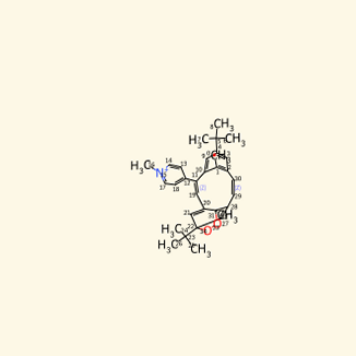 Cc1c2cc(C(C)(C)C)cc1/C(c1cc[n+](C)cc1)=C\C1=CC3(C(C)(C)C)C=C(/C=C\2)C1(C)OO3